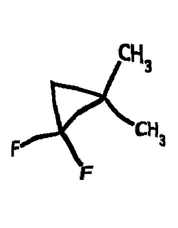 CC1(C)CC1(F)F